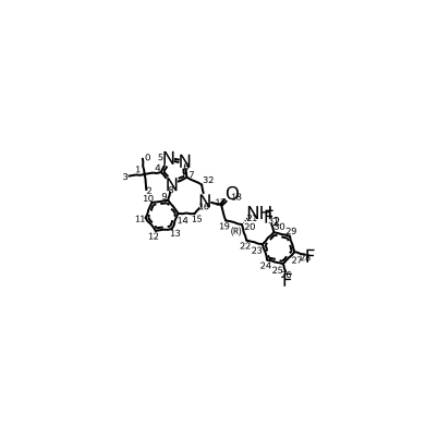 CC(C)(C)c1nnc2n1-c1ccccc1CN(C(=O)C[C@H](N)Cc1cc(F)c(F)cc1F)C2